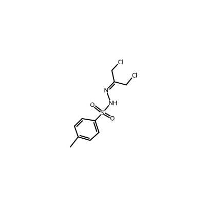 Cc1ccc(S(=O)(=O)NN=C(CCl)CCl)cc1